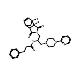 O=C(CCc1ccccc1)OC(CN1CCN(c2ccccn2)CC1)CN1C(=O)C2C3C=C[C@@H](C3)[C@@H]2C1=O